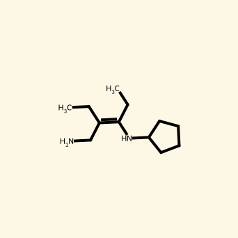 CC/C(CN)=C(\CC)NC1CCCC1